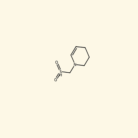 O=[SH](=O)CN1C=CCCC1